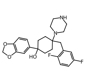 OC1(c2ccc3c(c2)OCO3)CCC(Cc2cc(F)ccc2F)(N2CCNCC2)CC1